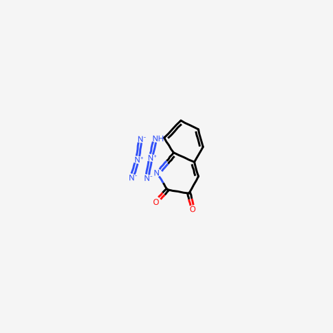 O=C1C=c2ccccc2=NC1=O.[N-]=[N+]=N.[N-]=[N+]=[N-]